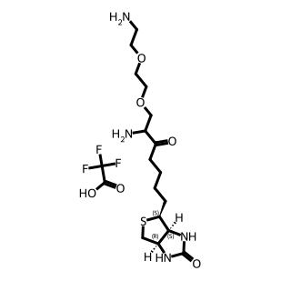 NCCOCCOCC(N)C(=O)CCCC[C@@H]1SC[C@@H]2NC(=O)N[C@@H]21.O=C(O)C(F)(F)F